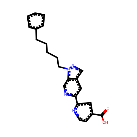 O=C(O)c1ccnc(-c2cc3cnn(CCCCCc4ccccc4)c3cn2)c1